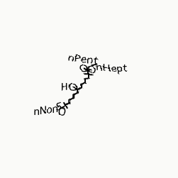 CCCCCCCCCSC(=O)C(C)(C)CCCCCC(O)CCCCCC(C)(C)C(=O)OCC(CCCCC)CCCCCCC